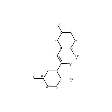 [CH]C(=CC1CC(C)CCC1C(C)C)C1CC(C)CCC1C(C)C